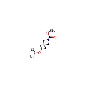 CCC(CC)OC1CC2(C1)CN(C(=O)OC(C)(C)C)C2